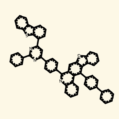 c1ccc(-c2ccc(-c3c4c(cc5c(-c6ccc(-c7cc(-c8cccc9c8sc8ccccc89)nc(-c8ccccc8)n7)cc6)nc6ccccc6c35)oc3ccccc34)cc2)cc1